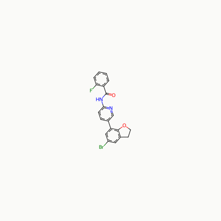 O=C(Nc1ccc(-c2cc(Br)cc3c2OCC3)cn1)c1ccccc1F